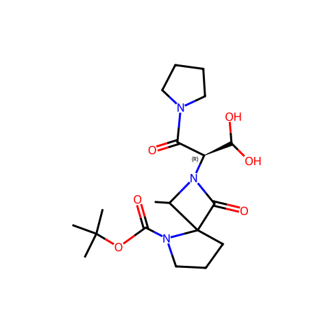 CC1N([C@@H](C(=O)N2CCCC2)C(O)O)C(=O)C12CCCN2C(=O)OC(C)(C)C